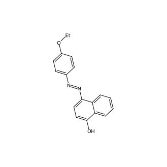 CCOc1ccc(/N=N/c2ccc(O)c3ccccc23)cc1